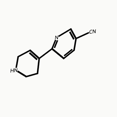 N#Cc1ccc(C2=CCNCC2)nc1